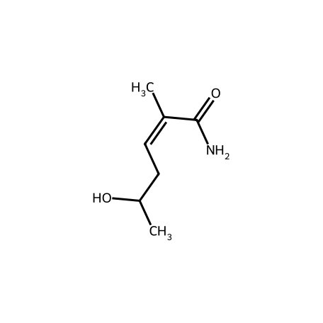 CC(=CCC(C)O)C(N)=O